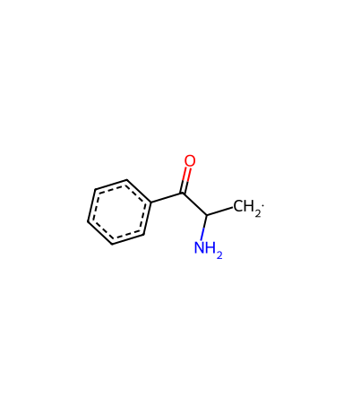 [CH2]C(N)C(=O)c1ccccc1